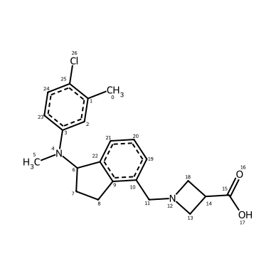 Cc1cc(N(C)C2CCc3c(CN4CC(C(=O)O)C4)cccc32)ccc1Cl